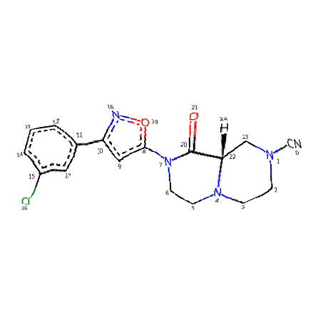 N#CN1CCN2CCN(c3cc(-c4cccc(Cl)c4)no3)C(=O)[C@@H]2C1